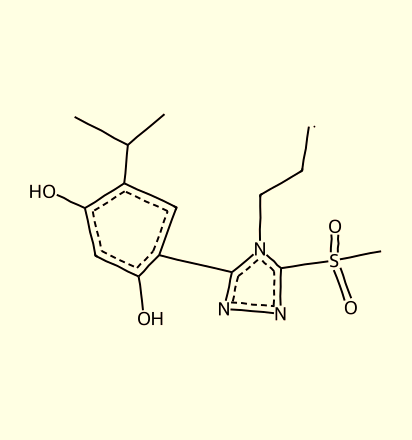 [CH2]CCn1c(-c2cc(C(C)C)c(O)cc2O)nnc1S(C)(=O)=O